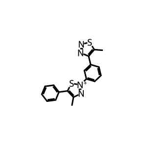 Cc1n[n+](-c2cccc(-c3nnsc3C)c2)sc1-c1ccccc1